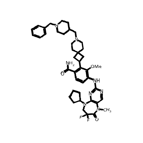 COc1c(Nc2ncc3c(n2)N(C2CCCC2)CC(F)(F)C(=O)N3C)ccc(C(N)=O)c1C1CC2(CCN(CC3CCN(Cc4ccccc4)CC3)CC2)C1